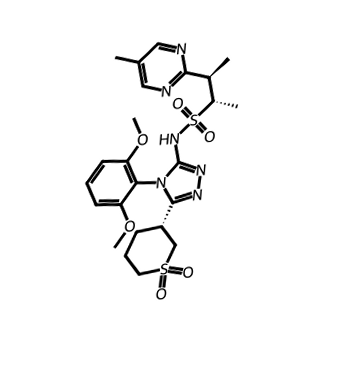 COc1cccc(OC)c1-n1c(NS(=O)(=O)[C@@H](C)[C@H](C)c2ncc(C)cn2)nnc1[C@H]1CCCS(=O)(=O)C1